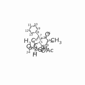 CC(=O)O[C@@H]1C[C@]2(C)[C@@]3(C=Cc4ccccc4)CC(=O)C(C)=C[C@H]3O[C@H]1[C@@]21CO1